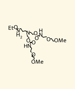 CCO[SiH2]CCCN(CCOC(=O)NCCOCCOC)CCOC(=O)NCCOCCOC